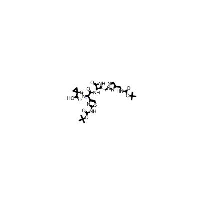 CC(C)(C)OC(=O)NCc1cnn(C[C@H]2NC(=O)[C@H]2NC(=O)/C(=N\OC2(C(=O)O)CC2)c2csc(NC(=O)OC(C)(C)C)n2)n1